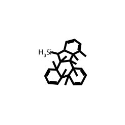 CC1=CC=CC2C([SiH3])C3(C)C4(C)C=CC=CC4(C)C4(C)C=CC=CC4(C)C3(C)C12C